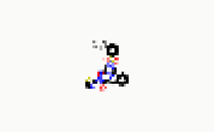 O=C(Nc1nccs1)[C@H](CC1CCCCC1)N1CCN(S(=O)(=O)c2cccc([N+](=O)[O-])c2)CC1=O